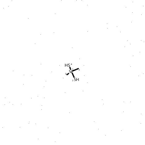 C[Si](C)(S)S